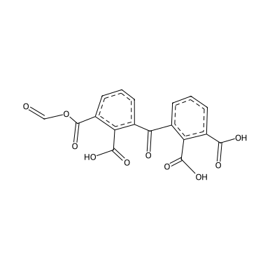 O=COC(=O)c1cccc(C(=O)c2cccc(C(=O)O)c2C(=O)O)c1C(=O)O